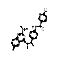 Cc1ccc2nc(N(C)C)nc(NC(C)c3ccc(NC(=O)c4ccc(Cl)nc4)cc3)c2c1